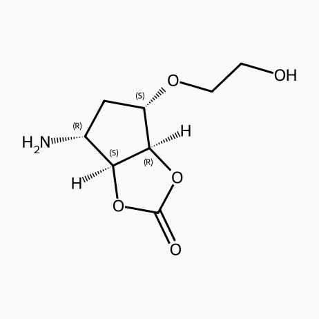 N[C@@H]1C[C@H](OCCO)[C@H]2OC(=O)O[C@H]21